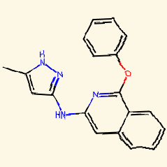 Cc1cc(Nc2cc3ccccc3c(Oc3ccccc3)n2)n[nH]1